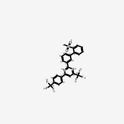 CS(=O)(=O)c1ccccc1-c1cccc(-c2nc(-c3ccc(C(F)(F)F)cc3)cc(C(F)(F)F)n2)c1